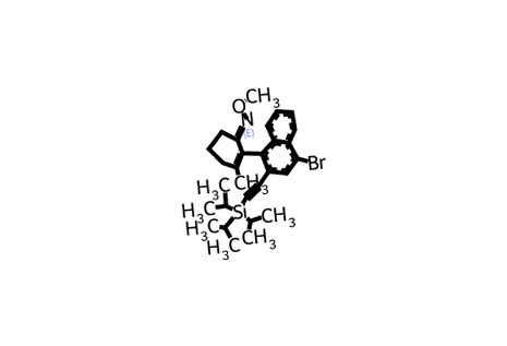 CO/N=C1\CCCC(C)=C1c1c(C#C[Si](C(C)C)(C(C)C)C(C)C)cc(Br)c2ccccc12